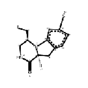 CC[C@@H]1CNC(=O)[C@@H]2Cc3ccc(Cl)cc3N12